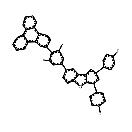 Cc1cc(-c2ccc3oc4c(-c5ccc(F)cc5)cc(-c5ccc(F)cc5)cc4c3c2)cc(C)c1-c1ccc2c3ccccc3c3ccccc3c2c1